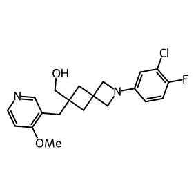 COc1ccncc1CC1(CO)CC2(CN(c3ccc(F)c(Cl)c3)C2)C1